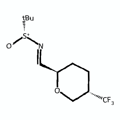 CC(C)(C)[S@@+]([O-])/N=C/[C@H]1CC[C@H](C(F)(F)F)CO1